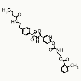 CCCC(=O)NCCc1ccc(S(=O)(=O)NC(=O)c2ccc(OC(=O)NCCOC(=O)c3ccccc3C)nc2)cc1